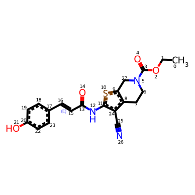 CCOC(=O)N1CCc2c(sc(NC(=O)/C=C/c3ccc(O)cc3)c2C#N)C1